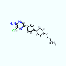 CCCCC1CCC(c2ccc(-c3cnc(N)c(Cl)n3)cc2)CC1